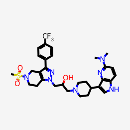 CN(C)c1ccc2[nH]cc(C3CCN(CC(O)Cn4nc(-c5ccc(C(F)(F)F)cc5)c5c4CCN(S(C)(=O)=O)C5)CC3)c2n1